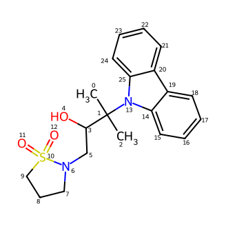 CC(C)(C(O)CN1CCCS1(=O)=O)n1c2ccccc2c2ccccc21